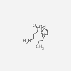 CCCn1ccnc1.NCCCC(=O)O